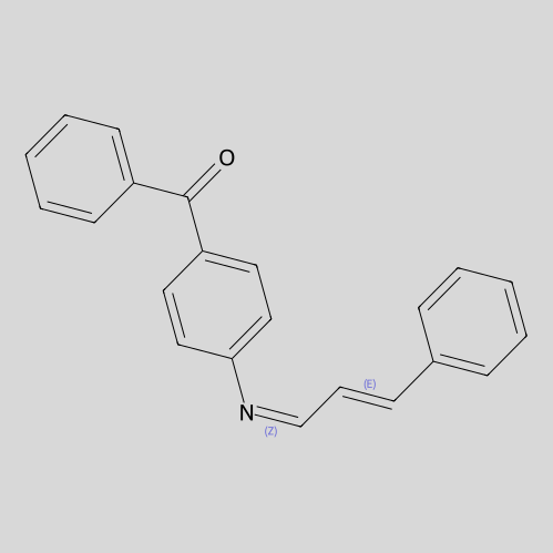 O=C(c1ccccc1)c1ccc(/N=C\C=C\c2ccccc2)cc1